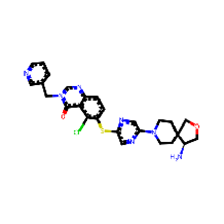 N[C@@H]1COCC12CCN(c1cnc(Sc3ccc4ncn(Cc5cccnc5)c(=O)c4c3Cl)cn1)CC2